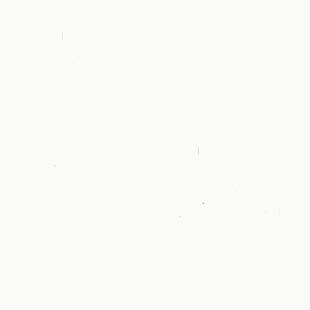 CC(C)O[Si](CCCc1cc(C(F)(F)F)cc(C(F)(F)F)c1)(OC(C)C)OC(C)C